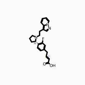 O=C(O)/C=C/Cc1ccc([C@@H]2CCCN2CCc2cnn3ccccc23)c(F)c1